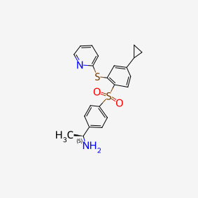 C[C@H](N)c1ccc(S(=O)(=O)c2ccc(C3CC3)cc2Sc2ccccn2)cc1